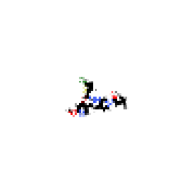 COc1ccc([C@H](CC2CCN(C(=O)CC(C)(C)C)CC2)NC(=O)c2ccc(Cl)s2)cn1